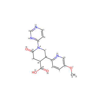 COc1ccc(C2CN(c3ccncn3)C(=O)CC2C(=O)O)nc1